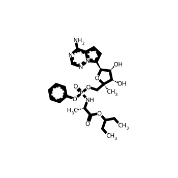 CCC(CC)OC(=O)[C@H](C)NP(=O)(OC[C@@]1(C)O[C@@H](c2ccc3c(N)ncnn23)[C@H](O)[C@@H]1O)Oc1ccccc1